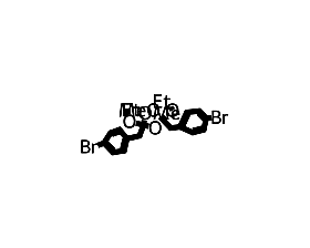 CCOC(Cc1ccc(Br)cc1)(OC)OC(Cc1ccc(Br)cc1)(OC)OCC